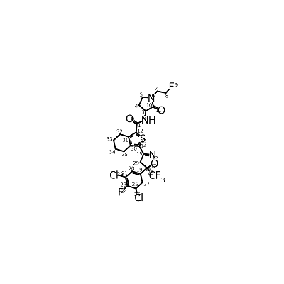 O=C(NC1CCN(CCF)C1=O)c1sc(C2=NOC(C3=CC(Cl)=C(F)C(Cl)C3)(C(F)(F)F)C2)c2c1CCCC2